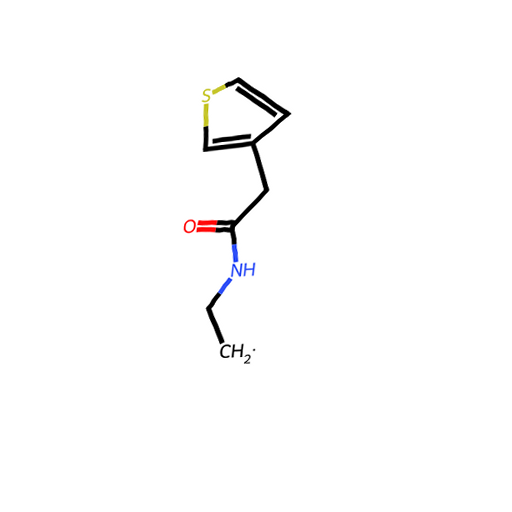 [CH2]CNC(=O)Cc1ccsc1